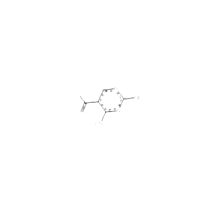 CC(=O)c1cnc(N)nc1N